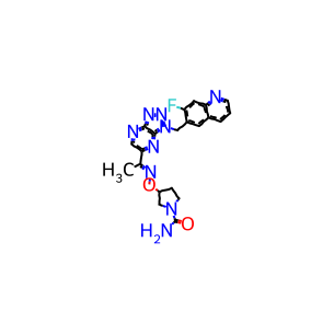 CC(=NOC1CCN(C(N)=O)C1)c1cnc2nnn(Cc3cc4cccnc4cc3F)c2n1